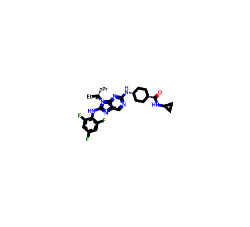 CCC[C@@H](CC)n1c(Nc2c(F)cc(F)cc2F)nc2cnc(N[C@H]3CC[C@H](C(=O)NC4CC4)CC3)nc21